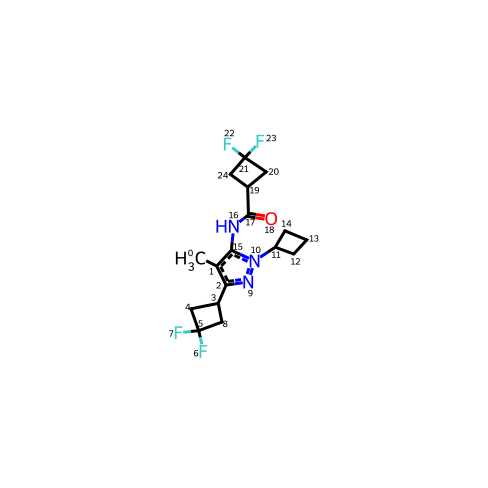 Cc1c(C2CC(F)(F)C2)nn(C2CCC2)c1NC(=O)C1CC(F)(F)C1